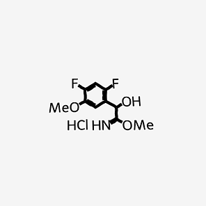 COC(=N)C(O)c1cc(OC)c(F)cc1F.Cl